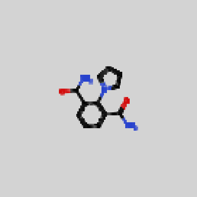 NC(=O)c1cccc(C(N)=O)c1-n1cccc1